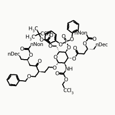 CCCCCCCCCCC[C@H](CC(=O)O[C@@H]1[C@@H](NC(=O)OCC(Cl)(Cl)Cl)[C@H](OCC[C@@H](COCc2ccccc2)C(=O)C[C@@H](CCCCCCCCCCC)OC(=O)CCCCCCCCC)O[C@H](COC(=O)OC(C)(C)C(Cl)(Cl)Cl)[C@H]1OP(=O)(Oc1ccccc1)Oc1ccccc1)OC(=O)CCCCCCCCC